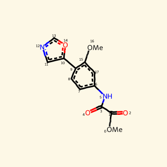 COC(=O)C(=O)Nc1ccc(-c2cnco2)c(OC)c1